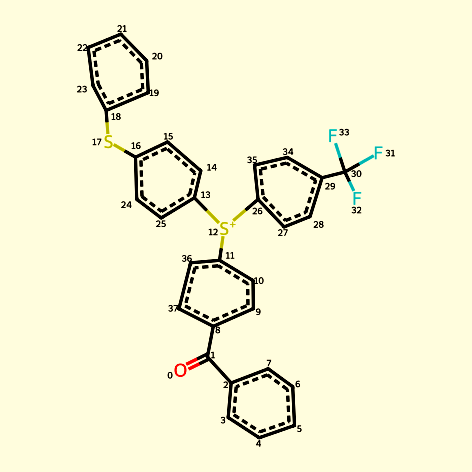 O=C(c1ccccc1)c1ccc([S+](c2ccc(Sc3ccccc3)cc2)c2ccc(C(F)(F)F)cc2)cc1